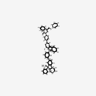 C[C@@H]1CC(C2=CCC(C(C/C(=C\C[C@H]3C=CC=CC3)c3ccccc3)N(C)C)C=C2)=Cc2c1n(-c1cccc(-c3ccc4c(c3)C(P)(c3ccccc3)C3=C4C=CCC3)c1)c1ccccc21